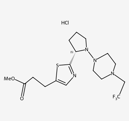 COC(=O)CCc1cnc([C@@H]2CCCN2N2CCN(CC(F)(F)F)CC2)s1.Cl